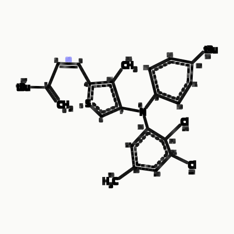 C=C(/C=C\c1scc(N(c2ccc(C(C)(C)C)cc2)c2cc(C)cc(Cl)c2Cl)c1C)C(C)(C)C